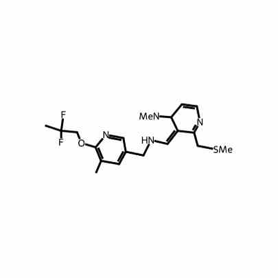 CNC1C=CN=C(CSC)/C1=C/NCc1cnc(OCC(C)(F)F)c(C)c1